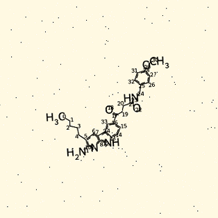 CCCCCc1cc2c(nc1N)[nH]c1ccc(C(=O)CCC(=O)NCc3ccc(OC)cc3)cc12